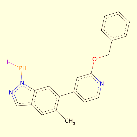 Cc1cc2cnn(PI)c2cc1-c1ccnc(OCc2ccccc2)c1